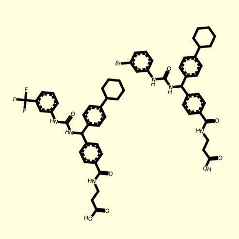 O=C(O)CCNC(=O)c1ccc(C(NC(=O)Nc2cccc(Br)c2)c2ccc(C3CCCCC3)cc2)cc1.O=C(O)CCNC(=O)c1ccc(C(NC(=O)Nc2cccc(C(F)(F)F)c2)c2ccc(C3CCCCC3)cc2)cc1